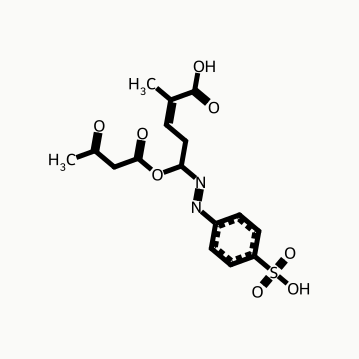 CC(=O)CC(=O)OC(CC=C(C)C(=O)O)N=Nc1ccc(S(=O)(=O)O)cc1